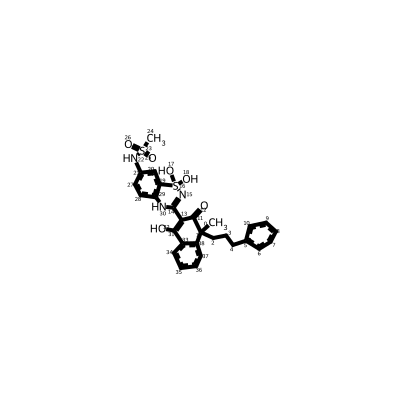 CC1(CCCc2ccccc2)C(=O)C(C2=NS(O)(O)c3cc(NS(C)(=O)=O)ccc3N2)=C(O)c2ccccc21